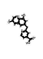 O=C(O)c1ccnc(Cc2cc(Cl)c3ncc(Cl)cc3c2)c1